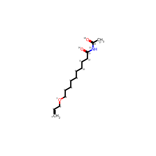 C=CCOCCCCCCCCCC(=O)NC(C)=O